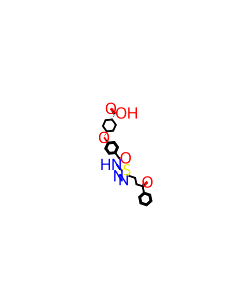 O=C(CCc1nnc(NC(=O)c2ccc(O[C@H]3CC[C@@H](C(=O)O)CC3)cc2)s1)c1ccccc1